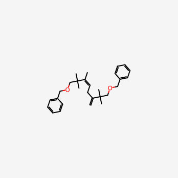 C=C(C/C=C(/C)C(C)(C)COCc1ccccc1)C(C)(C)COCc1ccccc1